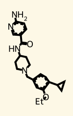 CCOc1cc(CN2CCC(NC(=O)c3ccc(N)nc3)CC2)ccc1C1CC1